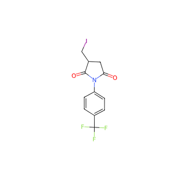 O=C1CC(CI)C(=O)N1c1ccc(C(F)(F)F)cc1